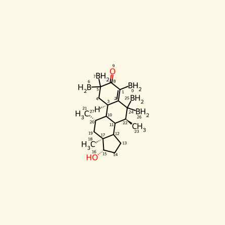 BC1=C2[C@H](CC(B)(B)C1=O)C1C(C3CC[C@H](O)[C@@]3(C)C[C@@H]1C)[C@H](C)C2(B)B